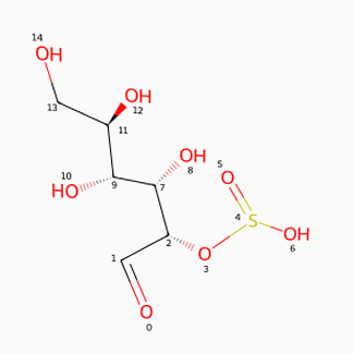 O=C[C@@H](OS(=O)O)[C@@H](O)[C@H](O)[C@H](O)CO